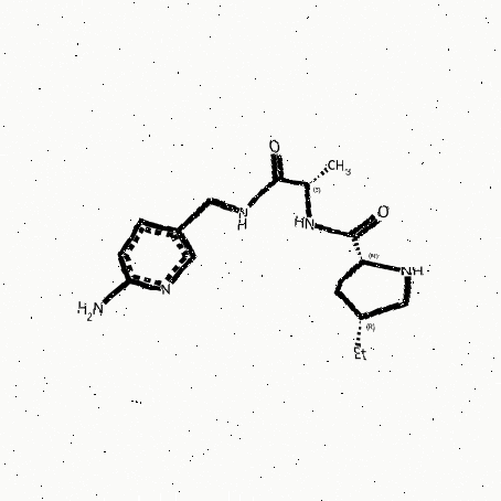 CC[C@H]1CN[C@@H](C(=O)N[C@@H](C)C(=O)NCc2ccc(N)nc2)C1